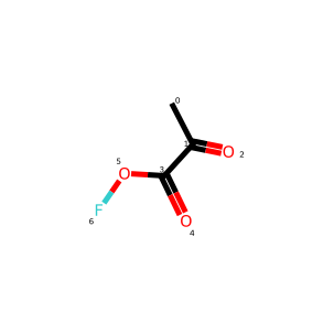 CC(=O)C(=O)OF